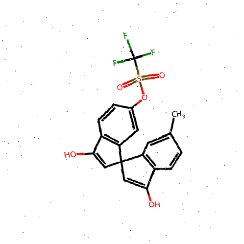 Cc1ccc2c(c1)C1(C=C2O)C=C(O)c2ccc(OS(=O)(=O)C(F)(F)F)cc21